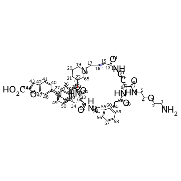 NCCOCCNC(=O)[C@@H]1CCNC(=O)/C=C/CN2CCC[C@@](C(=O)c3ccccc3)(CN[C@@H](Cc3ccc(-c4ccc5cc(C(=O)O)oc5c4)cc3)C(=O)NCc3ccccc3CC(=O)N1)C2